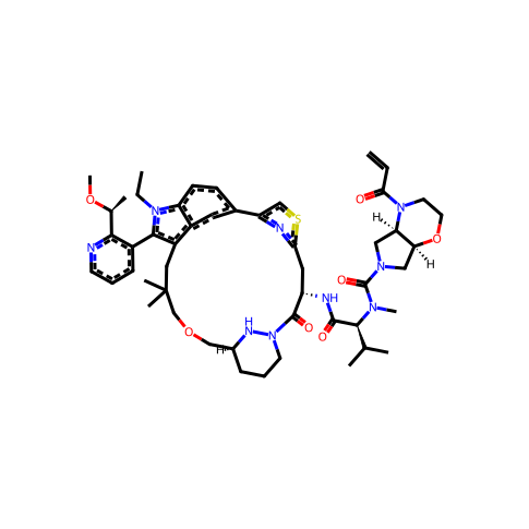 C=CC(=O)N1CCO[C@H]2CN(C(=O)N(C)[C@H](C(=O)N[C@H]3Cc4nc(cs4)-c4ccc5c(c4)c(c(-c4cccnc4[C@H](C)OC)n5CC)CC(C)(C)COC[C@@H]4CCCN(N4)C3=O)C(C)C)C[C@H]21